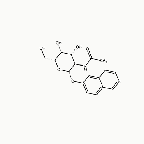 CC(=O)N[C@H]1[C@H](Oc2ccc3cnccc3c2)O[C@H](CO)[C@H](O)[C@@H]1O